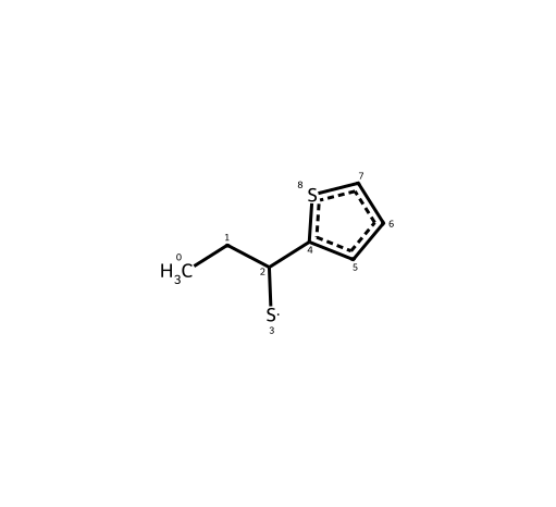 CCC([S])c1cccs1